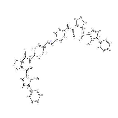 CCCc1c(C(=O)N2CCC[C@H]2C(=O)Nc2ccc(/C=C/c3ccc(NC(=O)[C@@H]4CCCN4C(=O)c4cnn(-c5ccccc5)c4CCC)cc3)cc2)cnn1-c1ccccc1